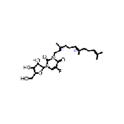 CC(C)=CCC/C(C)=C/CC/C(C)=C/Cn1c(=O)c(F)cn(C2OC(CO)C(O)C2O)c1=O